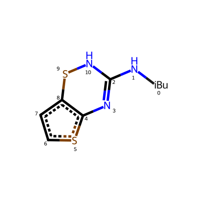 CCC(C)NC1=Nc2sccc2SN1